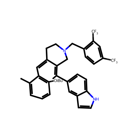 C/C(=C1/CN(Cc2ccc(C(F)(F)F)cc2C(F)(F)F)CC/C1=C/c1c(C)cccc1OCC(C)C)c1ccc2[nH]ccc2c1